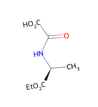 CCOC(=O)[C@H](C)NC(=O)C(=O)O